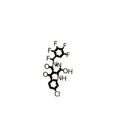 O=c1c2ccc(Cl)cc2[nH]c2c(O)nn(C(F)c3cc(F)c(F)c(F)c3F)c(=O)c12